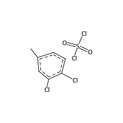 Cc1ccc(Cl)c(Cl)c1.O=S(=O)(Cl)Cl